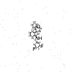 Fc1cc(F)cc(CNCC[C@@]2(c3ccccc3)CCOC3(CCCC3)C2)c1